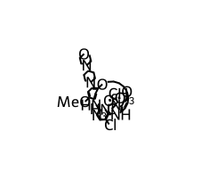 COc1cc(N2CCC(N3CCOCC3)CC2)c2cc1Nc1ncc(Cl)c(n1)Nc1ccc(cc1N(C)S(C)(=O)=O)OCCCCO2